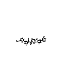 N#Cc1cccc(-c2cccc(NC(=O)N3CCN(Cc4cccc(-c5ccccc5)c4)CC3)c2)c1